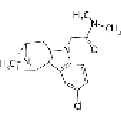 CN(C)C(=O)Cn1c2c(c3cc(Cl)ccc31)C1CCC(C2)N1C